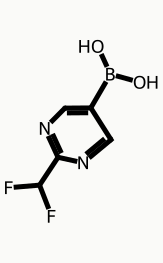 OB(O)c1cnc(C(F)F)nc1